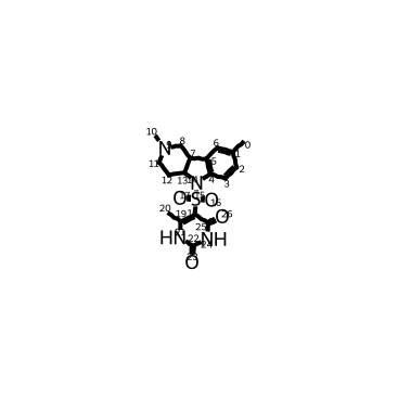 Cc1ccc2c(c1)C1CN(C)CCC1N2S(=O)(=O)c1c(C)[nH]c(=O)[nH]c1=O